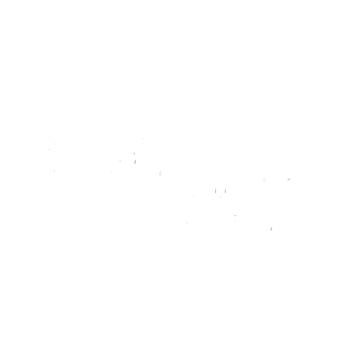 O=C(/C=C/C(=O)OCC1CO1)OCc1ccccc1